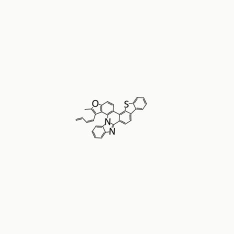 C=C/C=C\c1c(C)oc2ccc3c4c(ccc5c6ccccc6sc54)c4nc5ccccc5n4c3c12